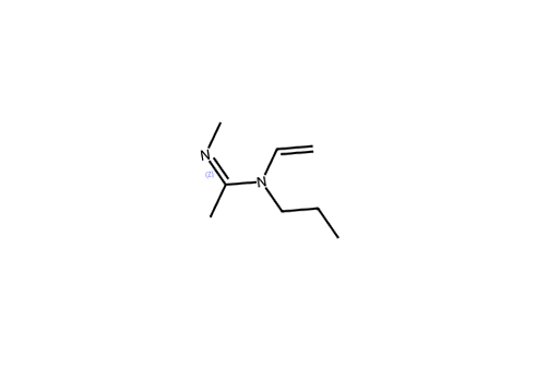 C=CN(CCC)/C(C)=N\C